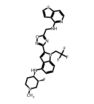 CN1CC[C@@H](Nc2cccc3c2cc(-c2noc(CNc4nccc5sccc45)n2)n3CC(F)(F)F)[C@@H](F)C1